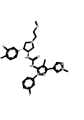 COCCN1C[C@@H](NC(=O)Nc2c(C)c(-c3cnn(C)c3)nn2-c2cccc(F)c2)[C@H](c2ccc(F)c(F)c2)C1